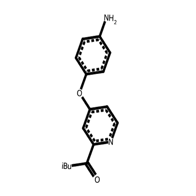 CCC(C)C(=O)c1cc(Oc2ccc(N)cc2)ccn1